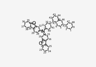 c1ccc(-c2ccc3c(-c4ccc(N(c5ccc6c(c5)oc5ccccc56)c5ccc6c(c5)oc5ccccc56)cc4)cccc3c2)cc1